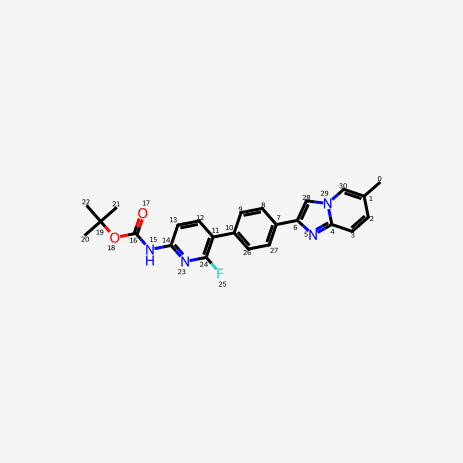 Cc1ccc2nc(-c3ccc(-c4ccc(NC(=O)OC(C)(C)C)nc4F)cc3)cn2c1